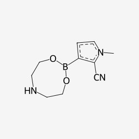 Cn1ccc(B2OCCNCCO2)c1C#N